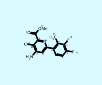 COC(=O)c1nc(-c2ccc(F)c(F)c2C)cc(N)c1Cl